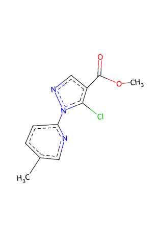 COC(=O)c1cnn(-c2ccc(C)cn2)c1Cl